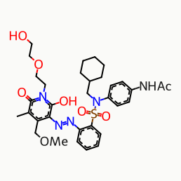 COCc1c(/N=N/c2ccccc2S(=O)(=O)N(CC2CCCCC2)c2ccc(NC(C)=O)cc2)c(O)n(CCOCCO)c(=O)c1C